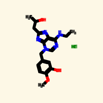 CCNc1ncn(Cc2ccc(OC)c(O)c2)c2nc(CC(C)O)nc1-2.Cl